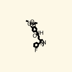 CCOP(=O)(Cc1ccc(NC(=O)/C=C/c2cnn(C)c2-c2cccc(F)c2)cc1)OCC